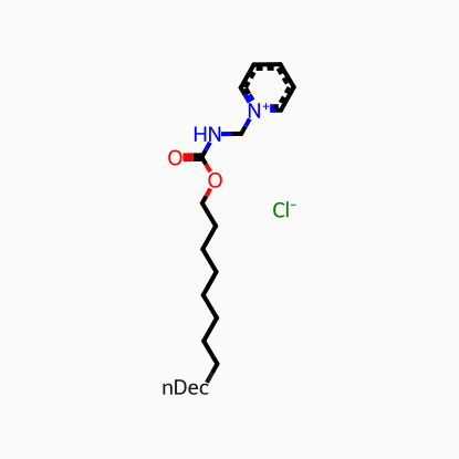 CCCCCCCCCCCCCCCCCCOC(=O)NC[n+]1ccccc1.[Cl-]